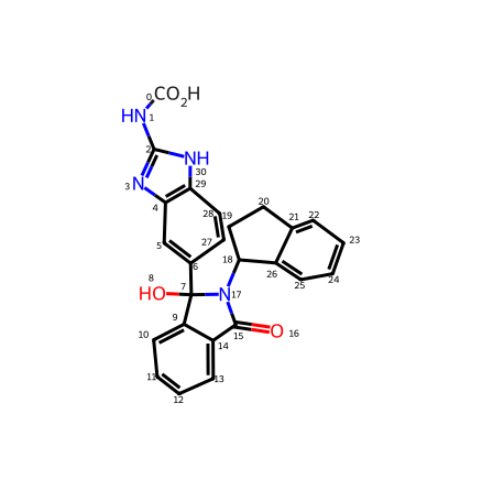 O=C(O)Nc1nc2cc(C3(O)c4ccccc4C(=O)N3C3CCc4ccccc43)ccc2[nH]1